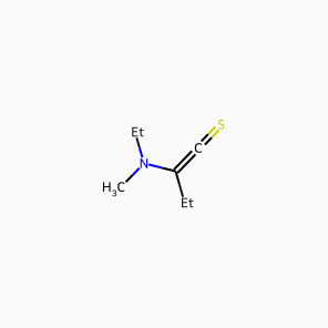 CCC(=C=S)N(C)CC